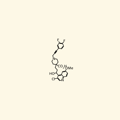 COc1ccc2ncc(Cl)c(C(O)CCC3(C(=O)O)CCN(CC#Cc4ccc(F)c(F)c4)CC3)c2c1